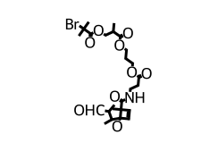 CC(COC(=O)C(C)(C)Br)C(=O)OCCCOC(=O)CCNC(=O)C1(C)C=CC12OC2(C)C(C)C=O